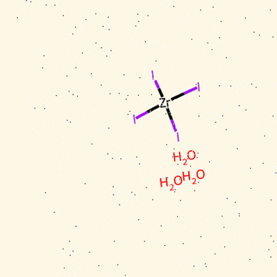 O.O.O.[I][Zr]([I])([I])[I]